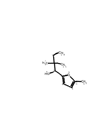 CCC(C)(C)[C@H](O)c1ccc(C)o1